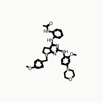 COc1ccc(CN2CCc3c(Nc4ccccc4NC(C)=O)nc(Nc4ccc(N5CCOCC5)cc4OC)nc32)cc1